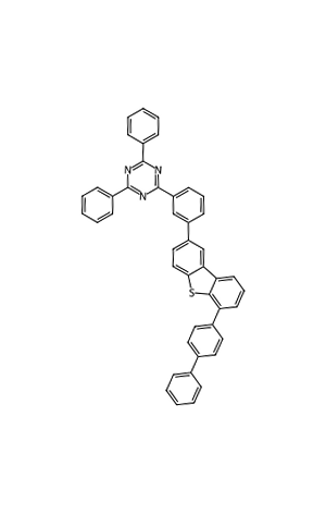 c1ccc(-c2ccc(-c3cccc4c3sc3ccc(-c5cccc(-c6nc(-c7ccccc7)nc(-c7ccccc7)n6)c5)cc34)cc2)cc1